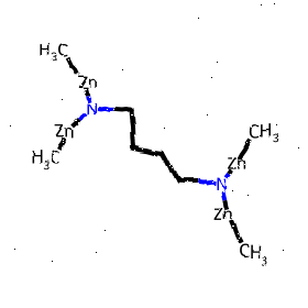 [CH3][Zn][N](CCCC[N]([Zn][CH3])[Zn][CH3])[Zn][CH3]